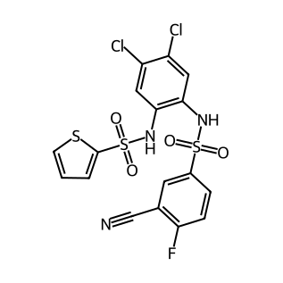 N#Cc1cc(S(=O)(=O)Nc2cc(Cl)c(Cl)cc2NS(=O)(=O)c2cccs2)ccc1F